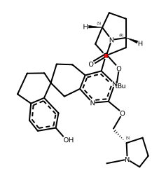 CN1CCC[C@H]1COc1nc2c(c(N3C[C@H]4CC[C@@H](C3)N4C(=O)OC(C)(C)C)n1)CCC1(CCCc3ccc(O)cc31)C2